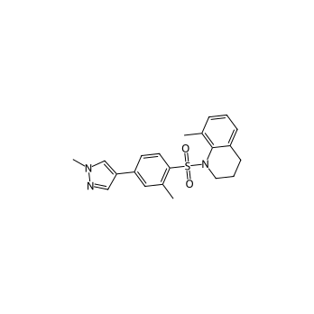 Cc1cc(-c2cnn(C)c2)ccc1S(=O)(=O)N1CCCc2cccc(C)c21